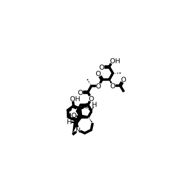 CC(=O)O[C@@H](C(=O)O[C@@H](C)C(=O)OC1=CC[C@@]2(O)[C@H]3Cc4ccc(O)c5c4[C@@]2(CCCN3C)[C@H]1O5)[C@@H](C)C(=O)O